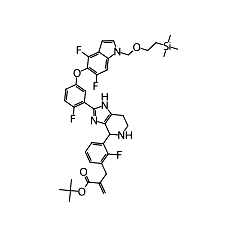 C=C(Cc1cccc(C2NCCc3[nH]c(-c4cc(Oc5c(F)cc6c(ccn6COCC[Si](C)(C)C)c5F)ccc4F)nc32)c1F)C(=O)OC(C)(C)C